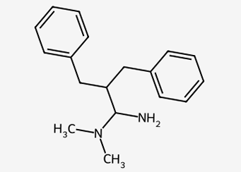 CN(C)C(N)C(Cc1ccccc1)Cc1ccccc1